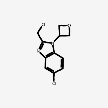 ClCc1nc2cc(Cl)ccc2n1C1COC1